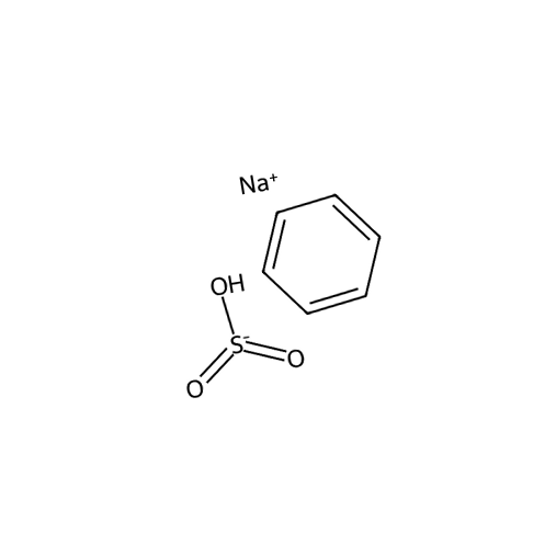 O=[S-](=O)O.[Na+].c1ccccc1